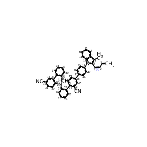 C=C/C=C\c1c(C)c2ccccc2n1-c1ccc(-c2ccc(-c3ccccc3Nc3ccc(C#N)cc3-c3ccccc3C)c(C#N)c2)cc1